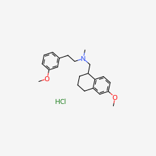 COc1cccc(CCN(C)CC2CCCc3cc(OC)ccc32)c1.Cl